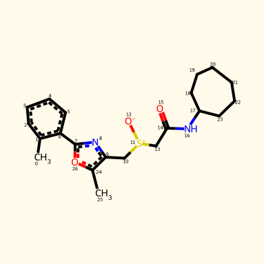 Cc1ccccc1-c1nc(C[S+]([O-])CC(=O)NC2CCCCCC2)c(C)o1